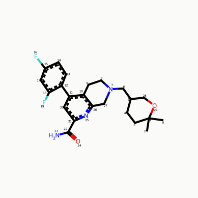 CC1(C)CCC(CN2CCc3c(-c4ccc(F)cc4F)cc(C(N)=O)nc3C2)CO1